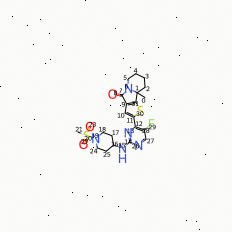 CC12CCCCN1C(=O)c1cc(-c3nc(NC4CCN(S(C)(=O)=O)CC4)ncc3F)sc12